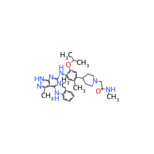 CNC(=O)CN1CCC(c2cc(OC(C)C)c(Nc3nc(Nc4ccccc4C)c4c(C)n[nH]c4n3)cc2C)CC1